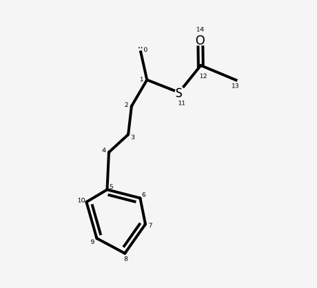 [CH]C(CCCc1ccccc1)SC(C)=O